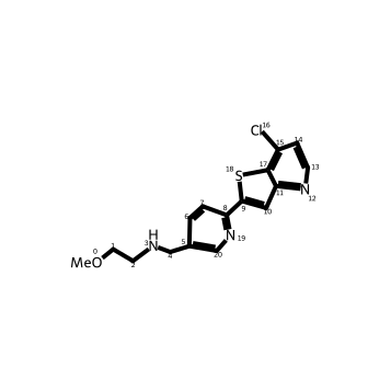 COCCNCc1ccc(-c2cc3nccc(Cl)c3s2)nc1